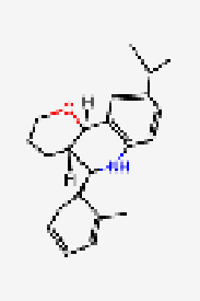 CC1=CC=CCC1[C@@H]1Nc2ccc(C(C)C)cc2[C@H]2OCCC[C@H]21